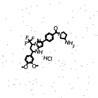 COc1ccc(C2CC(C(F)(F)F)n3nc(-c4ccc(C(=O)N5CCC(N)C5)cc4)cc3N2)cc1OC.Cl